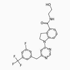 O=C(NCCO)c1cccc2c1CCN2c1cc(Cc2cc(F)cc(C(F)(F)F)c2)ncn1